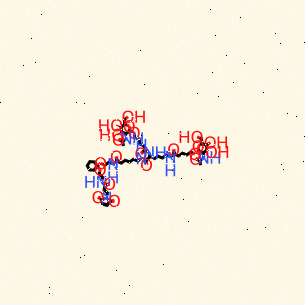 CC(=O)NC1[C@H](OCCCCC(=O)NCCCC[C@H](NC(=O)CCCCOC2OC(CO)[C@H](O)[C@H](O)[C@@H]2NC(C)=O)C(=O)NCCCCCC(=O)NCCOC2(OCCNC(=O)CCN3C(=O)C=CC3=O)CCCCC2)OC(CO)C(O)[C@@H]1O